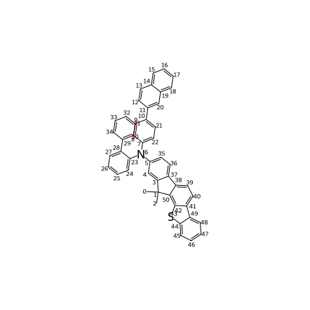 CC1(C)c2cc(N(c3ccc(-c4ccc5ccccc5c4)cc3)c3ccccc3-c3ccccc3)ccc2-c2ccc3c(sc4ccccc43)c21